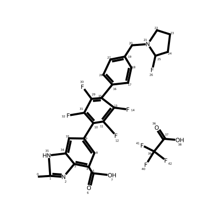 Cc1nc2c(C(=O)O)cc(-c3c(F)c(F)c(-c4ccc(CN5CCCC5F)cc4)c(F)c3F)cc2[nH]1.O=C(O)C(F)(F)F